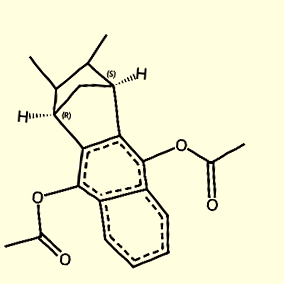 CC(=O)Oc1c2c(c(OC(C)=O)c3ccccc13)[C@@H]1C[C@H]2C(C)C1C